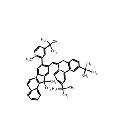 C[n+]1ccc(C(C)(C)C)cc1-c1cc2c(cc1/C=C1/Cc3ccc(C(C)(C)C)cc3-c3cc(C(C)(C)C)cc[n+]31)C(C)(C)c1c-2ccc2ccccc12